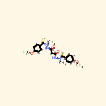 COc1ccc(C(=S)N(C)NC(=O)CC(=O)NN(C)C(=S)c2ccc(OC)cc2)cc1